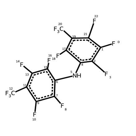 Fc1c(F)c(Nc2c(F)c(F)c(C(F)(F)F)c(F)c2F)c(F)c(C(F)(F)F)c1F